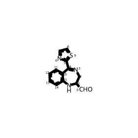 O=CC1CN=C(c2nccs2)c2ccccc2N1